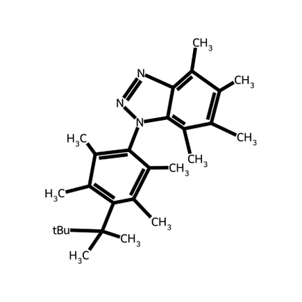 Cc1c(C)c(C(C)(C)C(C)(C)C)c(C)c(C)c1-n1nnc2c(C)c(C)c(C)c(C)c21